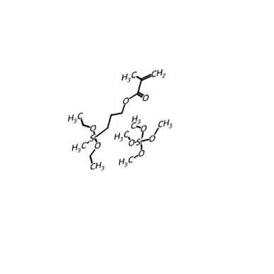 C=C(C)C(=O)OCCC[Si](C)(OCC)OCC.CO[Si](OC)(OC)OC